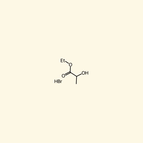 Br.CCOC(=O)C(C)O